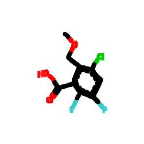 COCc1c(Cl)cc(F)c(F)c1C(=O)O